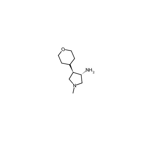 CN1C[C@@H](N)[C@H](C2CCOCC2)C1